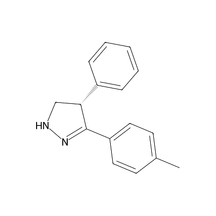 Cc1ccc(C2=NNC[C@@H]2c2ccccc2)cc1